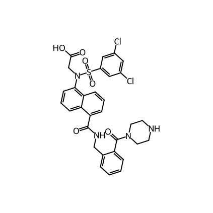 O=C(O)CN(c1cccc2c(C(=O)NCc3ccccc3C(=O)N3CCNCC3)cccc12)S(=O)(=O)c1cc(Cl)cc(Cl)c1